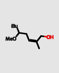 CCC(C)C(CC=C(C)CO)OC